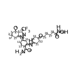 CC1(C)CC(=O)C2C(C(F)(F)F)=NN(c3ccc(C(N)=O)c(NC4CCC(OCCCCC(=O)NO)CC4)c3)C2C1